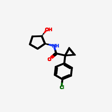 O=C(N[C@H]1CCC[C@@H]1O)C1(c2ccc(Cl)cc2)CC1